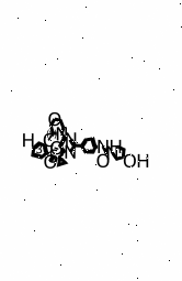 C[C@H]1COCCN1c1cc(C2(S(=O)(=O)c3ccccc3)CC2)nc(-c2ccc(NC(=O)N3CCC(O)C3)cc2)n1